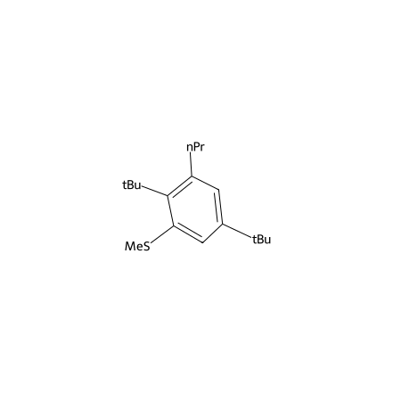 CCCc1cc(C(C)(C)C)cc(SC)c1C(C)(C)C